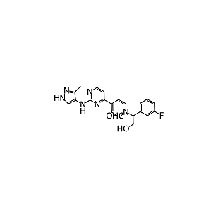 C/C=C(\C=C/N(C=O)C(CO)c1cccc(F)c1)c1ccnc(Nc2c[nH]nc2C)n1